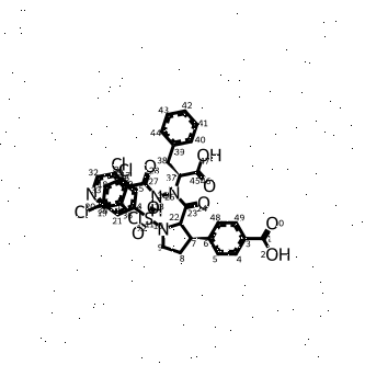 O=C(O)c1ccc([C@H]2CCN(S(=O)(=O)c3cc(Cl)cc(Cl)c3)C2C(=O)N(NC(=O)c2c(Cl)cncc2Cl)[C@@H](Cc2ccccc2)C(=O)O)cc1